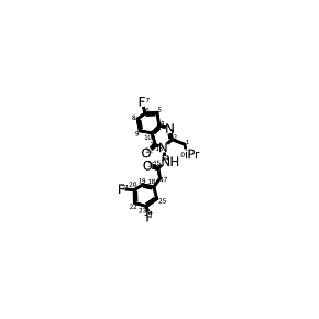 CC(C)Cc1nc2cc(F)ccc2c(=O)n1NC(=O)Cc1cc(F)cc(F)c1